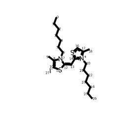 CCCCCCCN1C(C)=CS/C1=C/c1scc(C)[n+]1CCCCCCC.[I-]